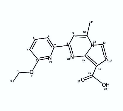 CCOc1cccc(-c2cc(C)n3cnc(C(=O)O)c3n2)n1